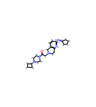 O=C(CN1CCc2nc(NC3CCCC3)ccc2C1)N1CCN(C2CCC2)CC1